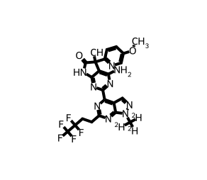 [2H]C([2H])([2H])n1ncc2c(-c3nc(N)c4c(n3)NC(=O)C4(C)c3ccc(OC)cn3)nc(CCC(F)(F)C(F)(F)F)nc21